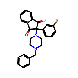 O=C1c2ccccc2C(=O)C1(c1cccc(Br)c1)N1CCN(Cc2ccccc2)CC1